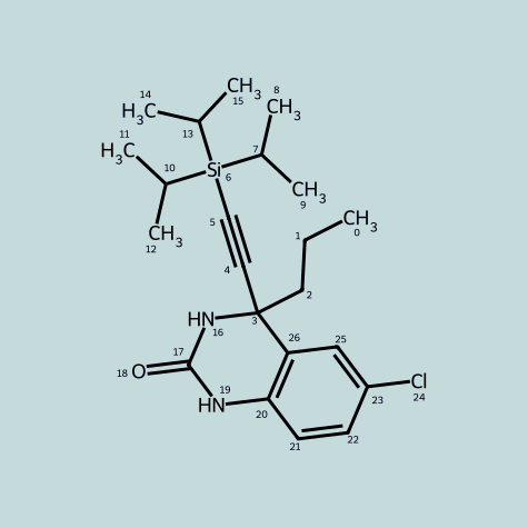 CCCC1(C#C[Si](C(C)C)(C(C)C)C(C)C)NC(=O)Nc2ccc(Cl)cc21